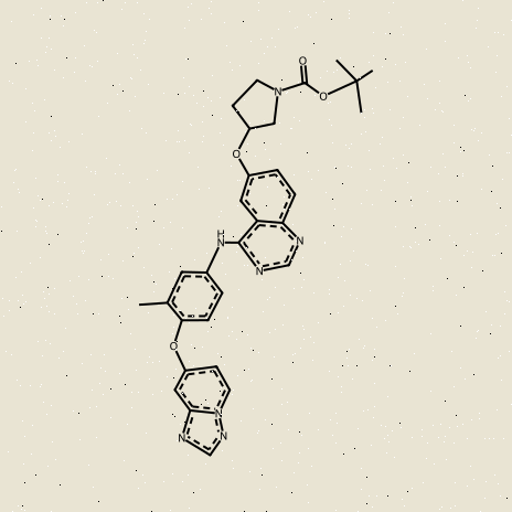 Cc1cc(Nc2ncnc3ccc(OC4CCN(C(=O)OC(C)(C)C)C4)cc23)ccc1Oc1ccn2ncnc2c1